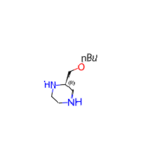 CCCCOC[C@H]1CNCCN1